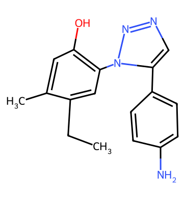 CCc1cc(-n2nncc2-c2ccc(N)cc2)c(O)cc1C